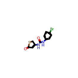 O=C(NC1=CC(=O)SC1)Nc1ccc(Br)cc1